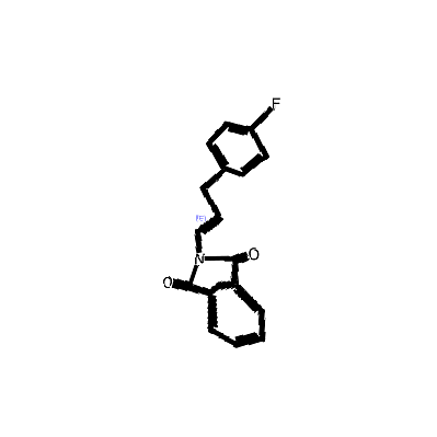 O=C1c2ccccc2C(=O)N1/C=C/Cc1ccc(F)cc1